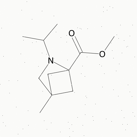 COC(=O)C12CC(C)(CN1C(C)C)C2